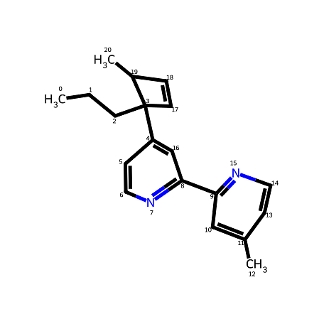 CCCC1(c2ccnc(-c3cc(C)ccn3)c2)C=CC1C